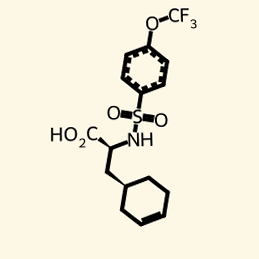 O=C(O)[C@H](C[C@@H]1CC=CCC1)NS(=O)(=O)c1ccc(OC(F)(F)F)cc1